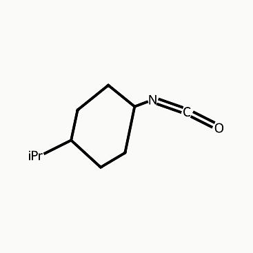 CC(C)C1CCC(N=C=O)CC1